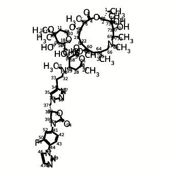 CC[C@H]1OC(=O)[C@H](C)[C@@H](O[C@H]2C[C@@](C)(OC)[C@@H](O)[C@H](C)O2)C[C@@H](O[C@@H]2O[C@H](C)C[C@H](N(C)CCc3cn(C[C@H]4CN(c5ccc(-n6ccnn6)c(F)c5)C(=O)O4)nn3)[C@H]2O)[C@](C)(O)C[C@@H](C)CN(C)[C@H](C)[C@@H](O)[C@]1(C)O